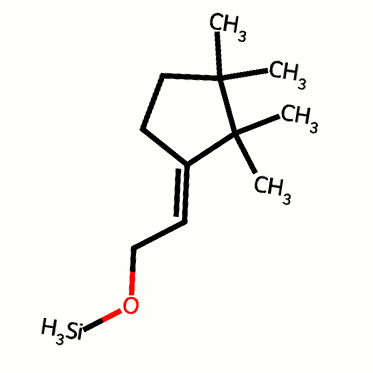 CC1(C)CCC(=CCO[SiH3])C1(C)C